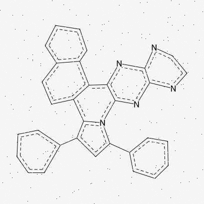 c1ccc(-c2cc(-c3ccccc3)n3c4nc5nccnc5nc4c4c5ccccc5ccc4c23)cc1